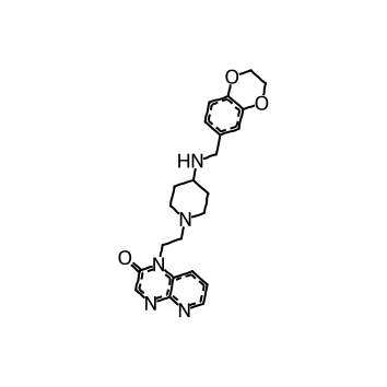 O=c1cnc2ncccc2n1CCN1CCC(NCc2ccc3c(c2)OCCO3)CC1